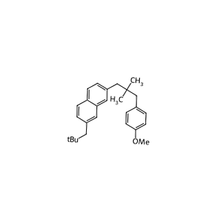 COc1ccc(CC(C)(C)Cc2ccc3ccc(CC(C)(C)C)cc3c2)cc1